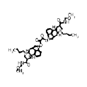 CCCCN1CC(C(=O)NCOC)C[C@@H]2c3cccc4c3c(cn4OC(=O)C(=O)On3cc4c5c(cccc53)[C@H]3CC(C(=O)NCOC)CN(CCCC)[C@@H]3C4)C[C@H]21